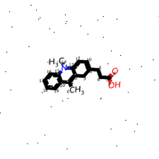 CC1=C2CC(CCC(=O)O)=CC=C2N(C)c2ccccc21